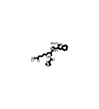 CCNC(=O)CCCCCC(CNC(=O)c1cncs1)c1ncc(-c2cc3ccccc3nc2OC)[nH]1